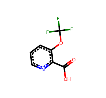 O=C(O)c1ncccc1OC(F)(F)F